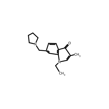 CCn1cc(C)c(=O)c2ccc(CN3CCCC3)cc21